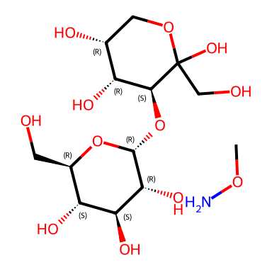 CON.OC[C@H]1O[C@H](O[C@H]2[C@H](O)[C@H](O)COC2(O)CO)[C@H](O)[C@@H](O)[C@@H]1O